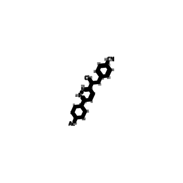 CC(=O)C1CCC(c2ccc(C(Cl)Cc3ccc(C#N)cc3)nn2)CC1